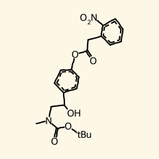 CN(CC(O)c1ccc(OC(=O)Cc2ccccc2[N+](=O)[O-])cc1)C(=O)OC(C)(C)C